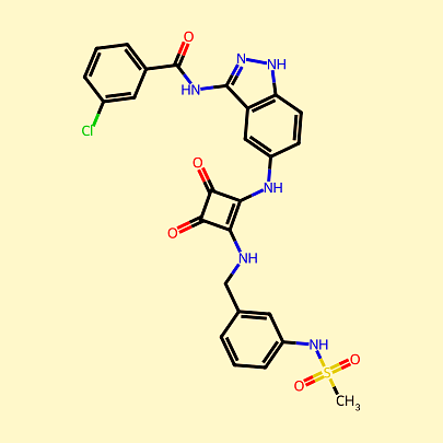 CS(=O)(=O)Nc1cccc(CNc2c(Nc3ccc4[nH]nc(NC(=O)c5cccc(Cl)c5)c4c3)c(=O)c2=O)c1